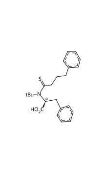 CC(C)(C)N(C(=S)CCCc1ccccc1)[C@@H](Cc1ccccc1)C(=O)O